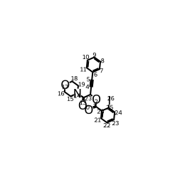 O=C(OC(C#Cc1ccccc1)C(=O)N1CCOCC1)c1ccccc1I